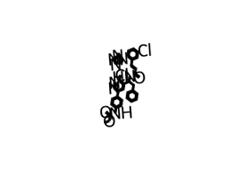 COC(=O)Nc1ccc(-c2cc(C(Cc3ccccc3)NC(=O)/C=C/c3cc(Cl)ccc3-n3cnnn3)c(Cl)nn2)cc1